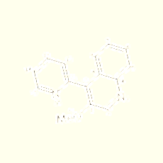 COc1[c]nc2ccccc2c1-c1ccccn1